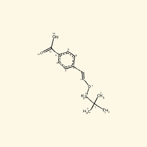 CC(C)(C)[SiH2]OC=Cc1ccc(C(=O)O)cc1